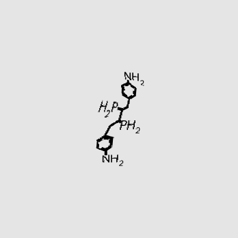 Nc1ccc(CC(P)C(P)Cc2ccc(N)cc2)cc1